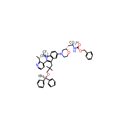 CO[C@@H](C)c1ncccc1-c1c(CC(C)(C)CO[Si](c2ccccc2)(c2ccccc2)C(C)(C)C)c2cc(N3CCO[C@@H](CC(NC(=O)OCc4ccccc4)C(=O)O)C3)ccc2n1CC(F)(F)F